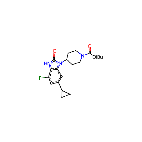 CC(C)COC(=O)N1CCC(n2c(=O)[nH]c3c(F)cc(C4CC4)cc32)CC1